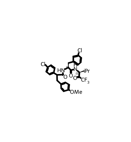 COc1ccc(CC(C(=O)N[C@@H](Cc2cccc(Cl)c2)C(=O)N[C@H](C(=O)C(F)(F)F)C(C)C)c2ccc(Cl)cc2)cc1